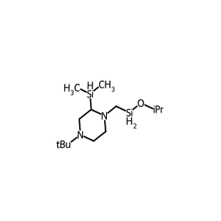 CC(C)O[SiH2]CN1CCN(C(C)(C)C)CC1[SiH](C)C